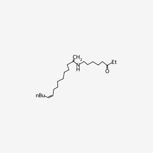 C=C(CCCCCCC/C=C\CCCC)NCCCCCC(=O)CC